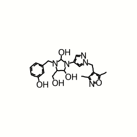 Cc1noc(C)c1Cn1cc(N2C(O)C(CO)N(Cc3cccc(O)c3)C2O)cn1